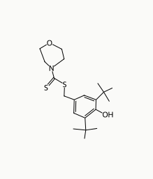 CC(C)(C)c1cc(CSC(=S)N2CCOCC2)cc(C(C)(C)C)c1O